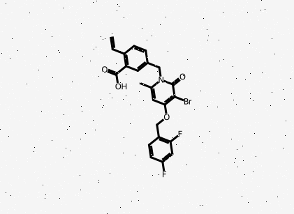 C=Cc1ccc(Cn2c(C)cc(OCc3ccc(F)cc3F)c(Br)c2=O)cc1C(=O)O